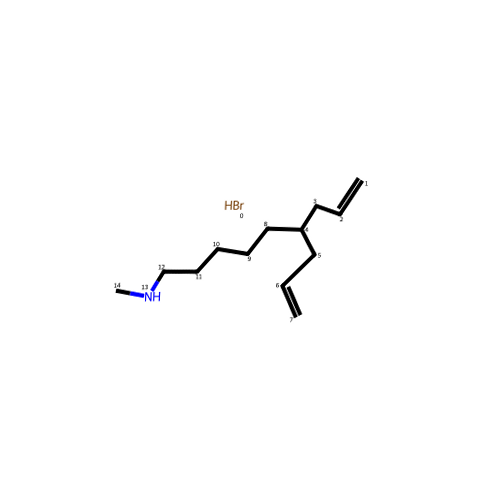 Br.C=CCC(CC=C)CCCCCNC